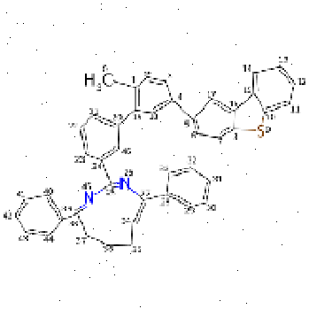 Cc1ccc(-c2ccc3sc4ccccc4c3c2)cc1-c1cccc(C2=N/C(c3ccccc3)=C/CCC/C(c3ccccc3)=N\2)c1